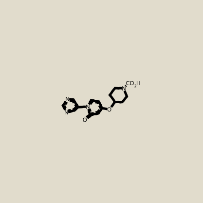 O=C(O)N1CCC(Oc2ccn(-c3cncnc3)c(=O)c2)CC1